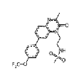 Cc1nc2ccc(-c3ccc(OC(F)(F)F)cc3)cc2n(CCNS(C)(=O)=O)c1=O